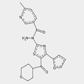 Cc1ccc(C(=O)N(N)c2nc(-c3ccco3)c(C(=O)C3CCOCC3)s2)cn1